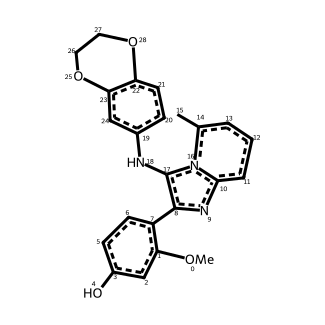 COc1cc(O)ccc1-c1nc2cccc(C)n2c1Nc1ccc2c(c1)OCCO2